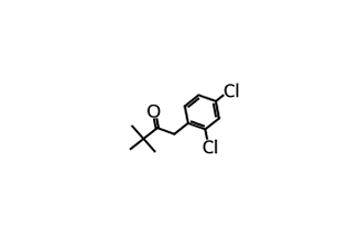 CC(C)(C)C(=O)Cc1ccc(Cl)cc1Cl